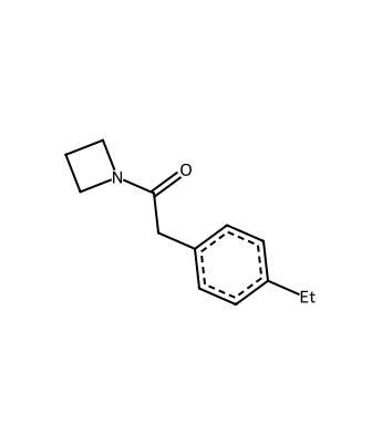 CCc1ccc(CC(=O)N2CCC2)cc1